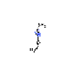 CCC/C=C/c1cnc(C#Cc2ccc(CCCC)cc2)cn1